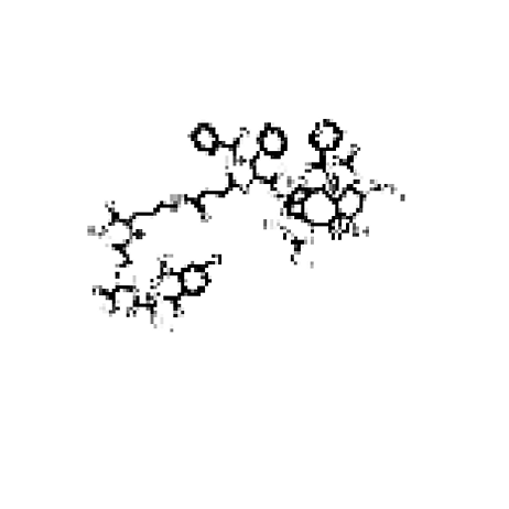 CO[C@@H]1C[C@H](O)[C@@]2(C)C(=O)[C@H](OC(C)=O)C3=C(C)[C@@H](OC(=O)[C@H](OC(=O)CCC(=O)NCCCCC(NC(=O)CC[C@H](NC(=O)C(C)NC(=O)c4ccc(Cl)cc4[N+](=O)[O-])C(N)=O)C(N)=O)[C@H](NC(=O)c4ccccc4)c4ccccc4)C[C@@](O)([C@@H](OC(=O)c4ccccc4)[C@@H]2[C@@]1(C)OC(C)=O)C3(C)C